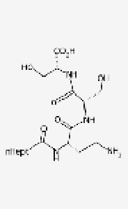 CCCCCCCC(=O)N[C@@H](CCN)C(=O)N[C@@H](CO)C(=O)N[C@H](CO)C(=O)O